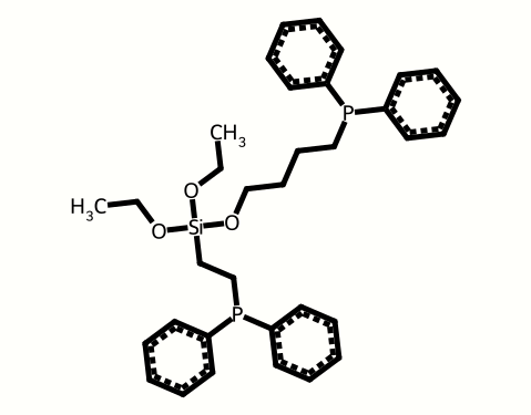 CCO[Si](CCP(c1ccccc1)c1ccccc1)(OCC)OCCCCP(c1ccccc1)c1ccccc1